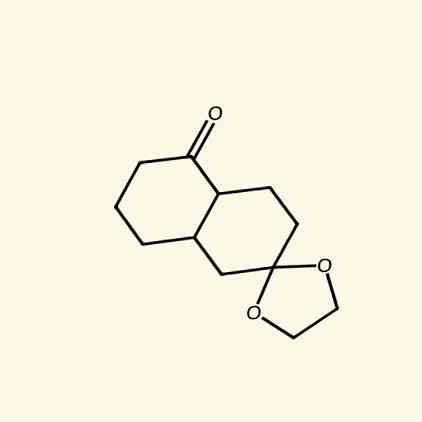 O=C1CCCC2CC3(CCC12)OCCO3